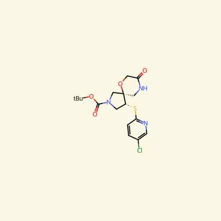 CC(C)(C)OC(=O)N1C[C@@H](Sc2ccc(Cl)cn2)[C@@]2(CNC(=O)CO2)C1